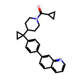 O=C(C1CC1)N1CCC(C2(c3ccc(-c4ccc5cccnc5c4)cc3)CC2)CC1